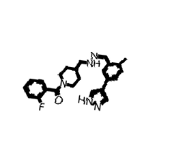 Cc1ccc(-c2cn[nH]c2)cc1/C=N\NCC1CCN(C(=O)c2ccccc2F)CC1